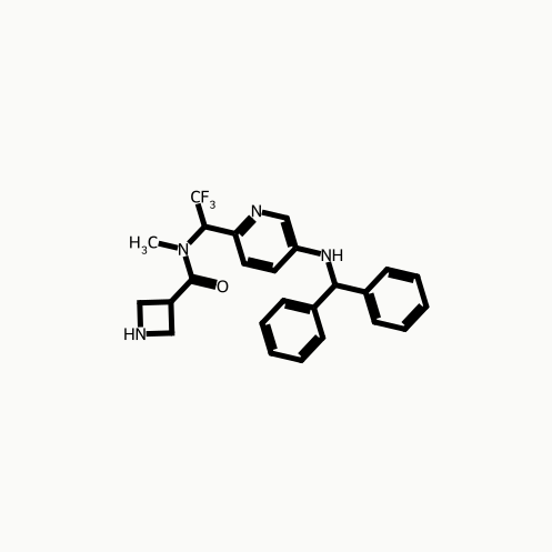 CN(C(=O)C1CNC1)C(c1ccc(NC(c2ccccc2)c2ccccc2)cn1)C(F)(F)F